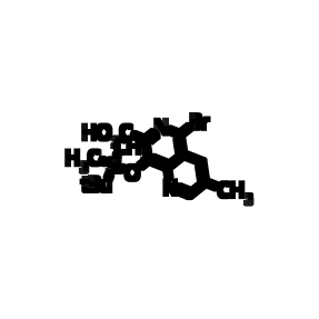 Cc1cnc2c(O[Si](C)(C)C(C)(C)C)c(C(=O)O)nc(Br)c2c1